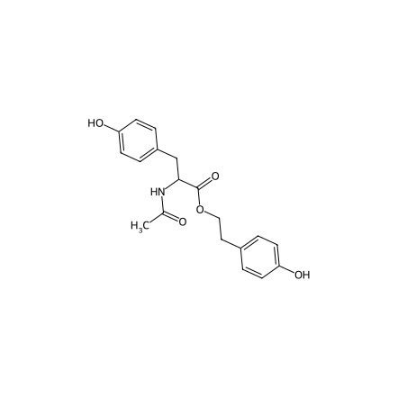 CC(=O)NC(Cc1ccc(O)cc1)C(=O)OCCc1ccc(O)cc1